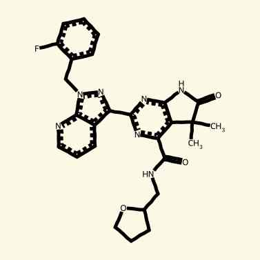 CC1(C)C(=O)Nc2nc(-c3nn(Cc4ccccc4F)c4ncccc34)nc(C(=O)NCC3CCCO3)c21